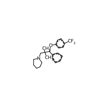 CC(C)(CN1CCCCC1)C(Oc1ccc(C(F)(F)F)cc1)c1ccccc1